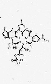 CC(=O)N1C[C@@H](NO)C[C@H]1C(=O)N[C@@H](CC(C)C)C(=O)N[C@@H](Cc1cnc[nH]1)C(=O)N[C@@H](CO)C(=O)N[C@H](C(N)=O)[C@@H](C)OP(=O)(O)O